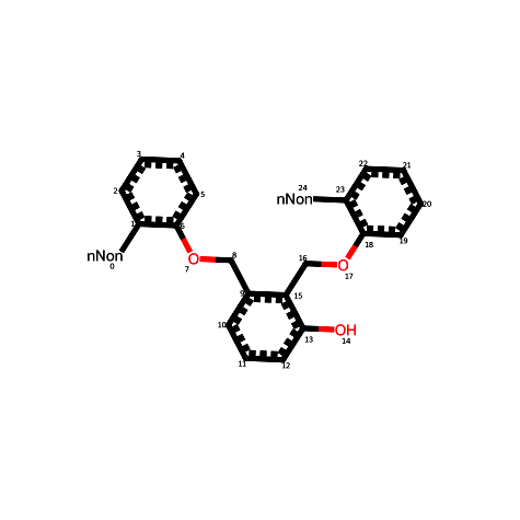 CCCCCCCCCc1ccccc1OCc1cccc(O)c1COc1ccccc1CCCCCCCCC